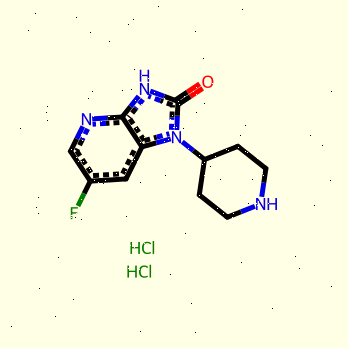 Cl.Cl.O=c1[nH]c2ncc(F)cc2n1C1CCNCC1